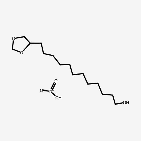 O=[N+]([O-])O.OCCCCCCCCCCCCC1COCO1